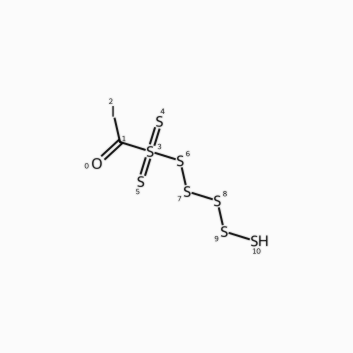 O=C(I)S(=S)(=S)SSSSS